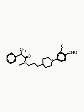 CN(CCCC1CCN(c2ccc(C=O)c(Cl)c2)CC1)C(=O)C(c1ccccc1)C(F)(F)F